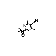 Cc1cc([N+](=O)[O-])nc(C)c1C#N